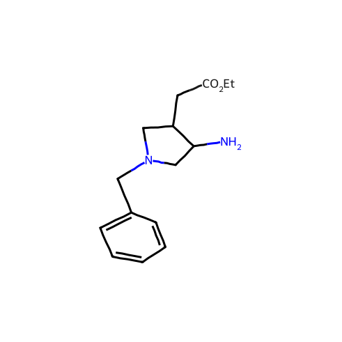 CCOC(=O)CC1CN(Cc2ccccc2)CC1N